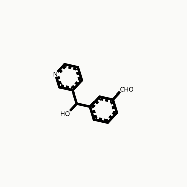 O=Cc1cccc(C(O)c2cccnc2)c1